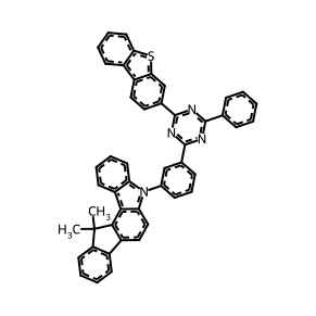 CC1(C)c2ccccc2-c2ccc3c(c21)c1ccccc1n3-c1cccc(-c2nc(-c3ccccc3)nc(-c3ccc4c(c3)sc3ccccc34)n2)c1